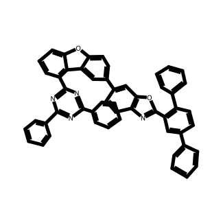 c1ccc(-c2ccc(-c3ccccc3)c(-c3nc4ccc(-c5ccc6oc7cccc(-c8nc(-c9ccccc9)nc(-c9ccccc9)n8)c7c6c5)cc4o3)c2)cc1